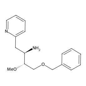 CO[C@@H](COCc1ccccc1)[C@H](N)Cc1ccccn1